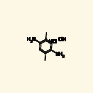 Cc1cc(N)c(C)cc1N.Cl.Cl